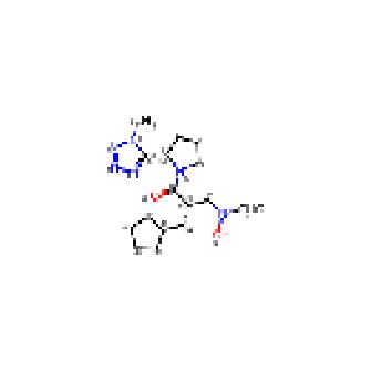 Cn1nnnc1[C@@H]1CCCN1C(=O)[C@@H](CC1CCCC1)CN(O)C=O